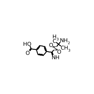 CC(C)(N)S(=O)(=O)C(=N)c1ccc(C(=O)O)cc1